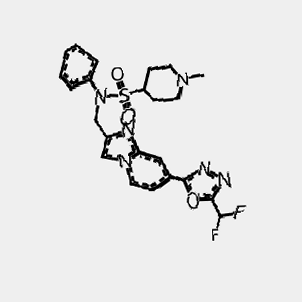 CN1CCC(S(=O)(=O)N(Cc2cn3ccc(-c4nnc(C(F)F)o4)cc3n2)c2ccccc2)CC1